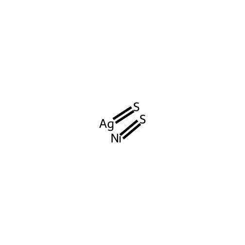 [S]=[Ag].[S]=[Ni]